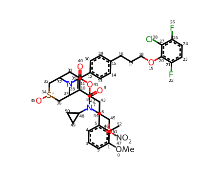 COc1cccc(CN(C(=O)C2=C(c3ccc(CCCOc4c(F)ccc(F)c4Cl)cc3)CC3C[S+]([O-])CC2N3C(=O)OCCCCO[N+](=O)[O-])C2CC2)c1C